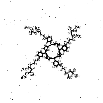 CC(=O)N(CCCOc1cccc(-c2c3nc(c(-c4cccc(OCCCN(CC(=O)OC(C)C)C(C)=O)c4)c4ccc([nH]4)c(-c4cccc(OCCCN(CC(=O)OC(C)C)C(C)=O)c4)c4nc(c(-c5cccc(OCCCN(CC(=O)OC(C)C)C(C)=O)c5)c5ccc2[nH]5)C=C4)C=C3)c1)CC(=O)OC(C)C